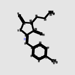 Cc1ccc(/C=C2/SC(=O)N(CCN)C2=O)cc1